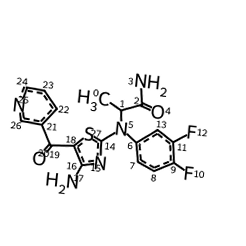 CC(C(N)=O)N(c1ccc(F)c(F)c1)c1nc(N)c(C(=O)c2cccnc2)s1